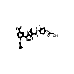 Cc1[nH]c2c(-c3cc(C(F)F)ccc3OCC3CC3)ncnc2c1C(=O)N[C@@H]1CC[C@H](NC(=O)CO)C[C@H]1C